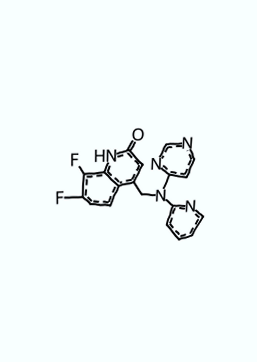 O=c1cc(CN(c2ccccn2)c2ccncn2)c2ccc(F)c(F)c2[nH]1